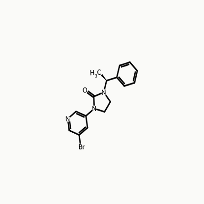 C[C@@H](c1ccccc1)N1CCN(c2cncc(Br)c2)C1=O